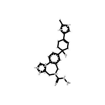 Cc1nc(C2=CCC(Cl)(c3ccc4c(c3)CN(C(=O)OC(C)(C)C)Cc3nncn3-4)CC2)cs1